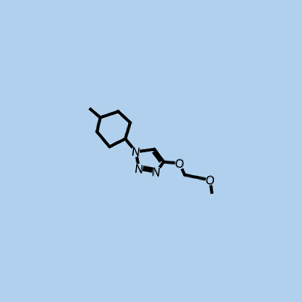 COCOc1cn(C2CCC(C)CC2)nn1